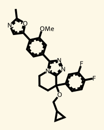 COc1cc(-c2nnc3n2CCCC3(OCC2CC2)c2ccc(F)c(F)c2)ccc1-c1cnc(C)o1